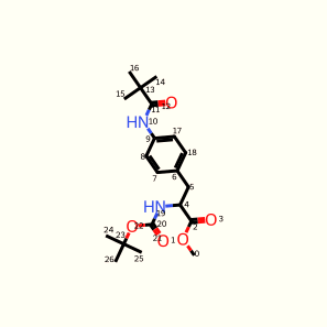 COC(=O)C(Cc1ccc(NC(=O)C(C)(C)C)cc1)NC(=O)OC(C)(C)C